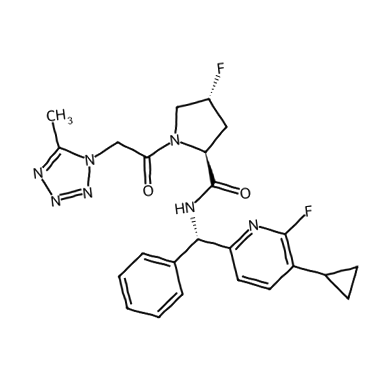 Cc1nnnn1CC(=O)N1C[C@H](F)C[C@H]1C(=O)N[C@@H](c1ccccc1)c1ccc(C2CC2)c(F)n1